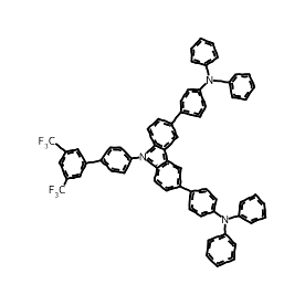 FC(F)(F)c1cc(-c2ccc(-n3c4ccc(-c5ccc(N(c6ccccc6)c6ccccc6)cc5)cc4c4cc(-c5ccc(N(c6ccccc6)c6ccccc6)cc5)ccc43)cc2)cc(C(F)(F)F)c1